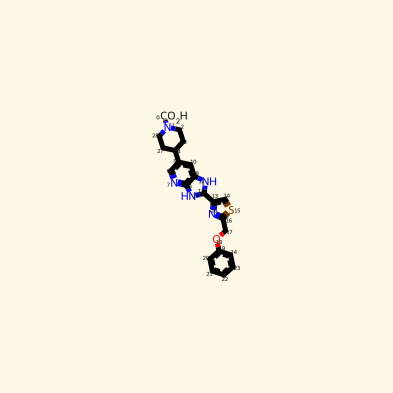 O=C(O)N1CCC(c2cnc3c(c2)NC(c2csc(COc4ccccc4)n2)N3)CC1